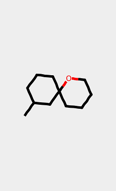 CC1CCCC2(CCCCO2)C1